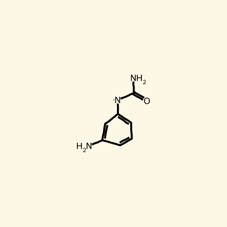 NC(=O)[N]c1cccc(N)c1